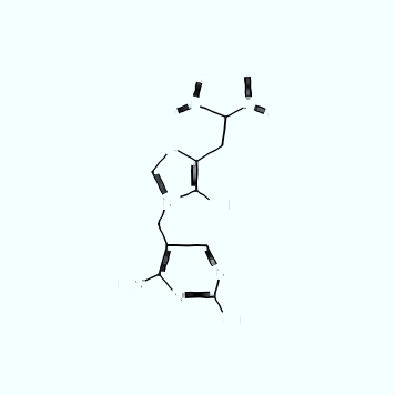 Cc1ncc(C[n+]2csc(CC(P(=O)=O)P(=O)=O)c2C)c(N)n1